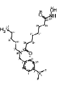 CN(C)c1ccc(CN(CCCCN)C(=O)CCCCCCC(=O)NO)cc1